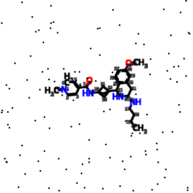 C=N/C=C\C(=C/C)C(=O)NC12CC(C3N[C@@H](NCCCC)Cc4cc(OC)ccc43)(C1)C2